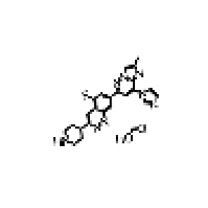 Cc1cn2nc(-c3cc(F)c4cc(C5CCNCC5)nnc4c3)cc(-n3ccnc3)c2n1.O=CO